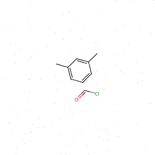 Cc1cccc(C)c1.O=CCl